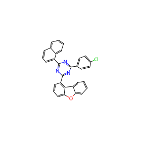 Clc1ccc(-c2nc(-c3cccc4ccccc34)nc(-c3cccc4oc5ccccc5c34)n2)cc1